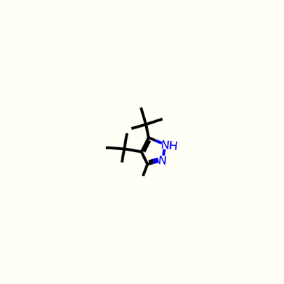 Cc1n[nH]c(C(C)(C)C)c1C(C)(C)C